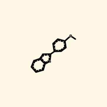 COc1ccc(-c2[c]c3ccccc3s2)cc1